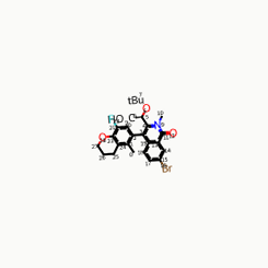 Cc1c(-c2c([C@H](OC(C)(C)C)C(=O)O)n(C)c(=O)c3cc(Br)ccc23)cc(F)c2c1CCCO2